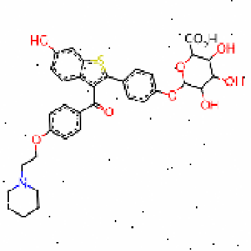 O=C(c1ccc(OCCN2CCCCC2)cc1)c1c(-c2ccc(OC3OC(C(=O)O)C(O)C(O)C3O)cc2)sc2cc(O)ccc12